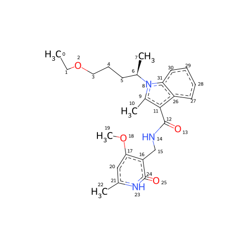 CCOCCC[C@@H](C)n1c(C)c(C(=O)NCc2c(OC)cc(C)[nH]c2=O)c2ccccc21